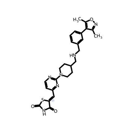 Cc1noc(C)c1-c1cccc(CNCC2CCN(c3nccc(/C=C4\SC(=O)NC4=O)n3)CC2)c1